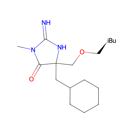 CC[C@H](C)COCC1(CC2CCCCC2)NC(=N)N(C)C1=O